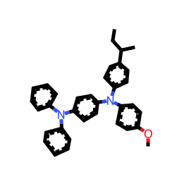 CCC(C)c1ccc(N(c2ccc(OC)cc2)c2ccc(N(c3ccccc3)c3ccccc3)cc2)cc1